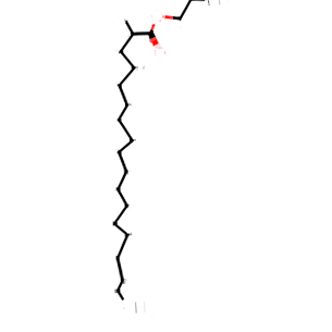 CCCCCCCCCCCCCCCCC(C)C(=O)OCCC